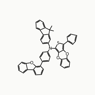 CC1(C)c2ccccc2-c2ccc(N(c3ccc(-c4cccc5c4oc4ccccc45)cc3)c3sc(-c4ccccc4)c4c3Oc3ccccc3O4)cc21